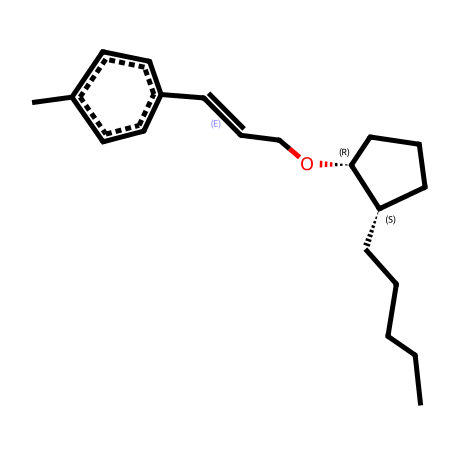 CCCCC[C@H]1CCC[C@H]1OC/C=C/c1ccc(C)cc1